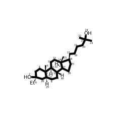 CC[C@]1(O)CC[C@@]2(C)[C@@H](CC[C@@H]3[C@@H]2CC[C@]2(C)[C@@H](CCCCC(C)(C)O)CC[C@@H]32)C1